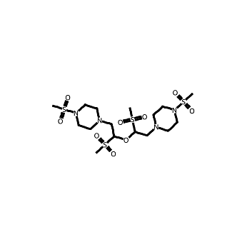 CS(=O)(=O)C(CN1CCN(S(C)(=O)=O)CC1)OC(CN1CCN(S(C)(=O)=O)CC1)S(C)(=O)=O